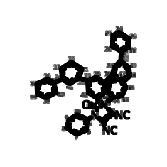 [C-]#[N+]C1=C([N+]#[C-])N(c2ccccc2)P(=O)(c2cc(-c3cccc(-c4ccccc4)c3)cc(-c3cccc(-c4ccccc4)c3)c2)N1c1ccccc1